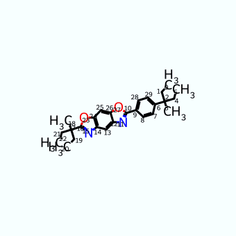 CCC(C)(CC)c1ccc(-c2nc3cc4nc(C(C)(CC)CC)oc4cc3o2)cc1